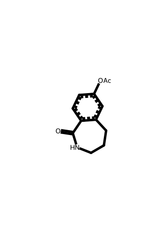 CC(=O)Oc1ccc2c(c1)CCCNC2=O